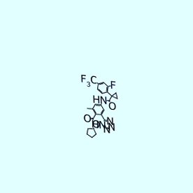 Cc1cc(NC(=O)C2(c3ccc(C(F)(F)F)cc3F)CC2)cc(-c2nnn[nH]2)c1C(=O)OC1CCCC1